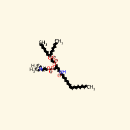 CCCCCCCC/C=C\CCCCCCCC(=O)NCCC(COC(=O)CC(=O)OC(CCCCCCCC)CCCCCCCC)COC(=O)OCCCN(CC)CC